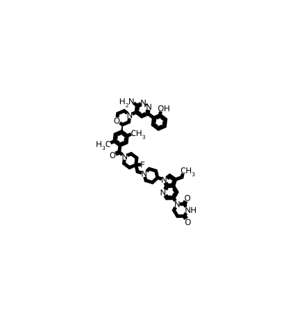 CCc1cn(C2CCN(CC3(F)CCN(C(=O)c4cc(C)c([C@@H]5CN(c6cc(-c7ccccc7O)nnc6N)CCO5)cc4C)CC3)CC2)c2ncc(N3CCC(=O)NC3=O)cc12